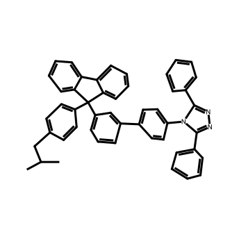 CC(C)Cc1ccc(C2(c3cccc(-c4ccc(-n5c(-c6ccccc6)nnc5-c5ccccc5)cc4)c3)c3ccccc3-c3ccccc32)cc1